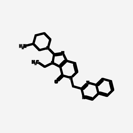 CCn1c(N2CCCC(N)C2)nc2ccn(Cc3ncc4ccccc4n3)c(=O)c21